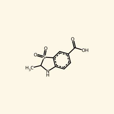 CC1Nc2ccc(C(=O)O)cc2S1(=O)=O